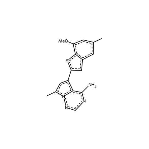 COc1cc(C)cc2cc(-c3cc(C)n4ncnc(N)c34)sc12